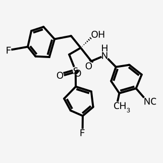 [C-]#[N+]c1ccc(NC(=O)[C@](O)(Cc2ccc(F)cc2)CS(=O)(=O)c2ccc(F)cc2)cc1C